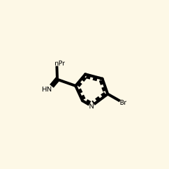 CCCC(=N)c1ccc(Br)nc1